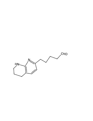 O=CCCCCc1ccc2c(n1)NCCC2